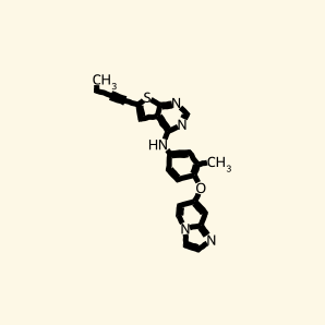 CCC#Cc1cc2c(Nc3ccc(Oc4ccn5ccnc5c4)c(C)c3)ncnc2s1